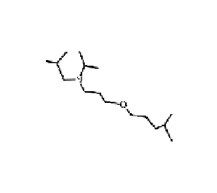 CC(C)CCCOCCCN(CC(C)C)C(C)C